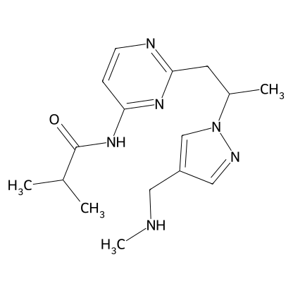 CNCc1cnn(C(C)Cc2nccc(NC(=O)C(C)C)n2)c1